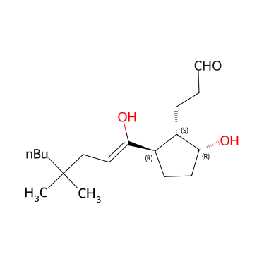 CCCCC(C)(C)CC=C(O)[C@@H]1CC[C@@H](O)[C@H]1CCC=O